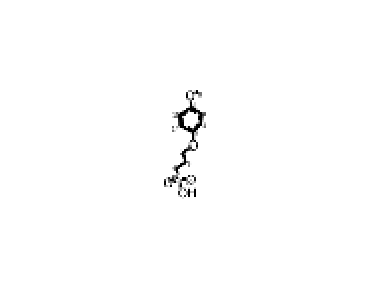 COc1ccc(OCCCS(=O)(=O)O)cc1